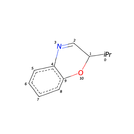 CC(C)C1C=Nc2ccccc2O1